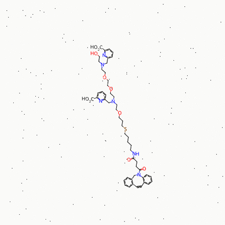 O=C(CCC(=O)N1Cc2ccccc2C#Cc2ccccc21)NCCCCCSCCCOCCN(CCOCCOCCN(CCO)Cc1cccc(C(=O)O)n1)Cc1cccc(C(=O)O)n1